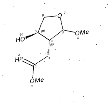 COC(=P)C[C@H]1C(OC)OC[C@@H]1O